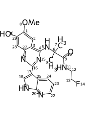 COc1cc2c(NC(C)(C)C(=O)NCCF)nc(-c3c[nH]c4ncccc34)nc2cc1O